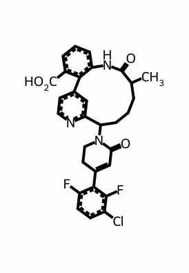 CC1CCCC(N2CCC(c3c(F)ccc(Cl)c3F)=CC2=O)c2cc(ccn2)-c2c(cccc2C(=O)O)NC1=O